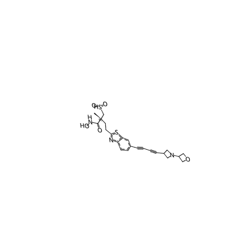 C[C@](CCc1nc2ccc(C#CC#CC3CN(C4COC4)C3)cc2s1)(C[SH](=O)=O)C(=O)NO